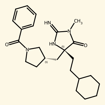 CN1C(=N)N[C@@](CCC2CCCCC2)(C[C@@H]2CCN(C(=O)c3ccccc3)C2)C1=O